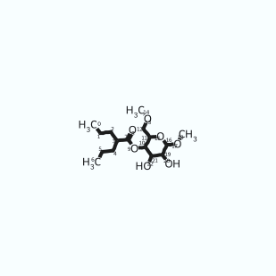 CCCC(CCC)C(=O)OC1C(COC)OC(OC)C(O)C1O